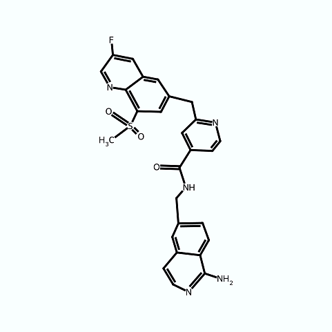 CS(=O)(=O)c1cc(Cc2cc(C(=O)NCc3ccc4c(N)nccc4c3)ccn2)cc2cc(F)cnc12